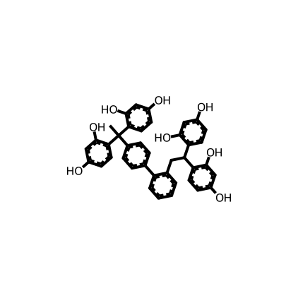 CC(c1ccc(-c2ccccc2CC(c2ccc(O)cc2O)c2ccc(O)cc2O)cc1)(c1ccc(O)cc1O)c1ccc(O)cc1O